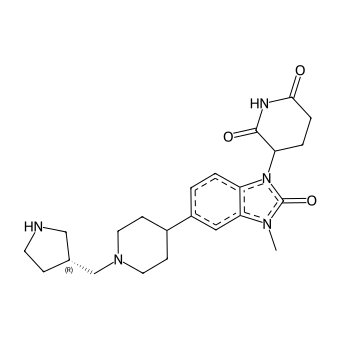 Cn1c(=O)n(C2CCC(=O)NC2=O)c2ccc(C3CCN(C[C@@H]4CCNC4)CC3)cc21